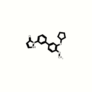 COc1ccc(-c2cccc(-n3[nH]ccc3=O)c2)cc1OC1CCCC1